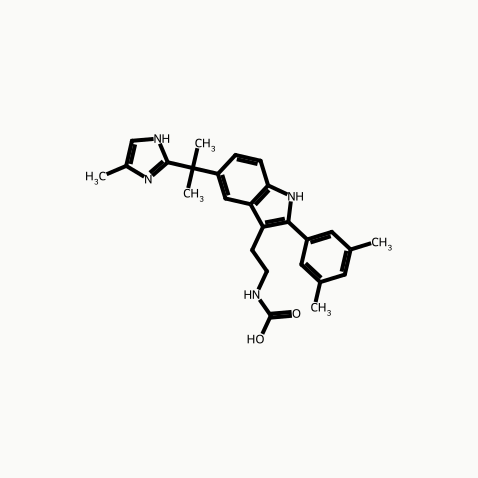 Cc1cc(C)cc(-c2[nH]c3ccc(C(C)(C)c4nc(C)c[nH]4)cc3c2CCNC(=O)O)c1